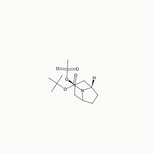 CC(C)(C)OC(=O)N1C2CC[C@H]1C[C@H](OS(C)(=O)=O)C2